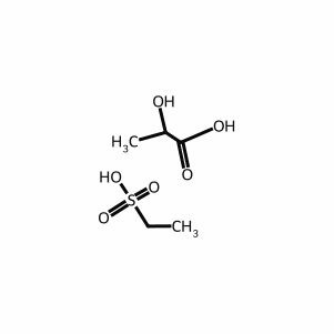 CC(O)C(=O)O.CCS(=O)(=O)O